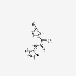 C=C(C(=O)Nc1nnn[nH]1)c1ccc(Br)s1